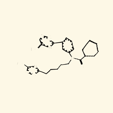 Cc1noc(CCCCCN(C(=O)C2CCCCC2)c2cccc(-c3nc(C)no3)c2)n1